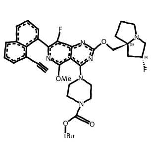 C#Cc1cccc2cccc(-c3nc(OC)c4c(N5CCN(C(=O)OC(C)(C)C)CC5)nc(OC[C@@]56CCCN5C[C@H](F)C6)nc4c3F)c12